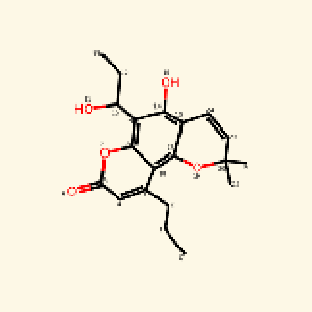 CCCc1cc(=O)oc2c(C(O)CC)c(O)c3c(c12)OC(C)(C)C=C3